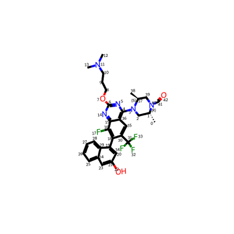 C[C@@H]1CN(c2nc(OCCCN(C)C)nc3c(F)c(-c4cc(O)cc5ccccc45)c(C(F)(F)F)cc23)[C@@H](C)CN1C=O